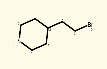 BrCCC1CCSCC1